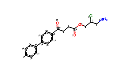 NCC(Cl)COC(=O)CCC(=O)c1ccc(-c2ccccc2)cc1